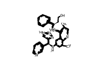 N#Cc1cnc2c(Cl)cc(N[C@@H](c3cccnc3)c3c[nH]nn3)cc2c1N[C@H](CCO)c1ccccc1